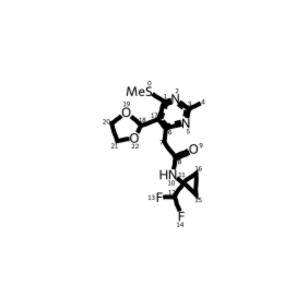 CSc1nc(C)nc(CC(=O)NC2(C(F)F)CC2)c1C1OCCO1